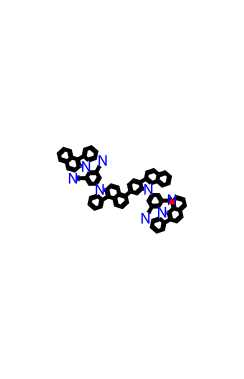 N#Cc1cc(-n2c3ccccc3c3c4cccc(-c5ccc6c7ccc8ccccc8c7n(-c7cc(C#N)c(-n8c9ccccc9c9ccc%10ccccc%10c98)c(C#N)c7)c6c5)c4ccc32)cc(C#N)c1-n1c2ccccc2c2c3ccccc3ccc21